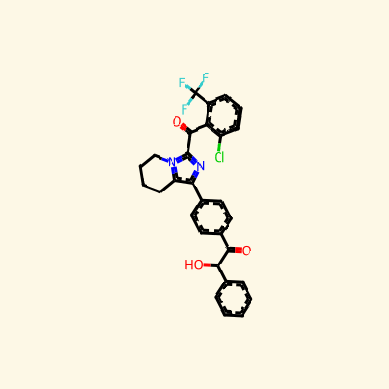 O=C(c1c(Cl)cccc1C(F)(F)F)c1nc(-c2ccc(C(=O)C(O)c3ccccc3)cc2)c2n1CCCC2